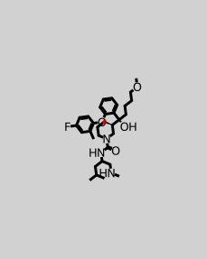 CNCC(CC(C)C)NC(=O)N1CCC[C@@H]([C@@](O)(CCCCOC)c2ccccc2Oc2ccc(F)cc2C)C1